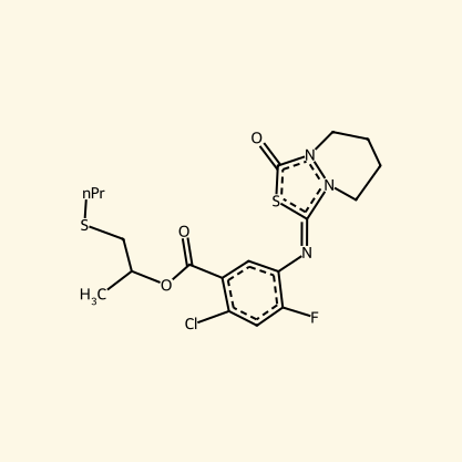 CCCSCC(C)OC(=O)c1cc(N=c2sc(=O)n3n2CCCC3)c(F)cc1Cl